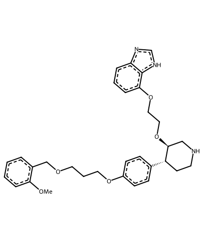 COc1ccccc1COCCCOc1ccc([C@H]2CCNC[C@@H]2OCCOc2cccc3nc[nH]c23)cc1